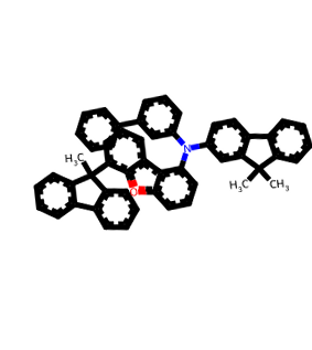 CC1(C)c2ccccc2-c2ccc(N(c3cccc(-c4ccccc4)c3)c3cccc4oc5c(C6(C)c7ccccc7-c7ccccc76)cccc5c34)cc21